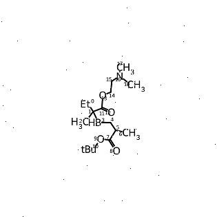 CCC(C)(BCC(C)C(=O)OC(C)(C)C)C(=O)OCCN(C)C